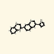 c1c[nH]c(-c2cnc3cc(-c4cnc5ccccc5n4)ccc3c2)c1